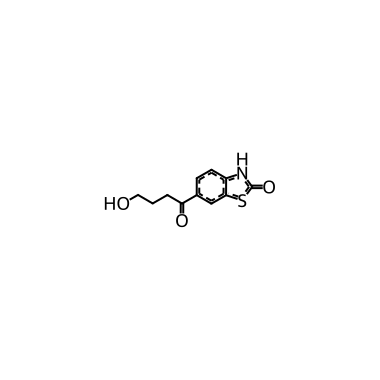 O=C(CCCO)c1ccc2[nH]c(=O)sc2c1